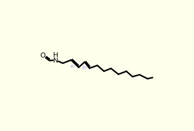 CCCCCCCCC/C=C/C=C/CNC=O